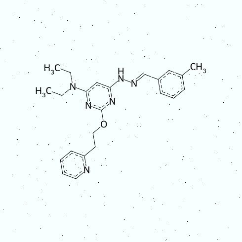 CCN(CC)c1cc(N/N=C/c2cccc(C)c2)nc(OCCc2ccccn2)n1